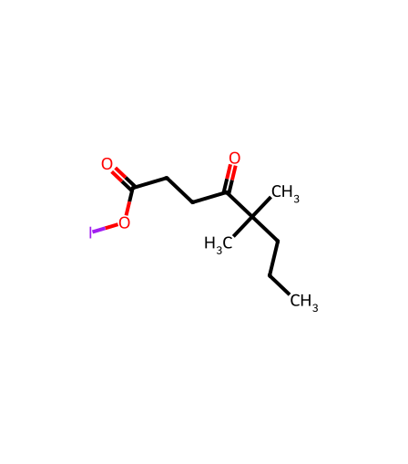 CCCC(C)(C)C(=O)CCC(=O)OI